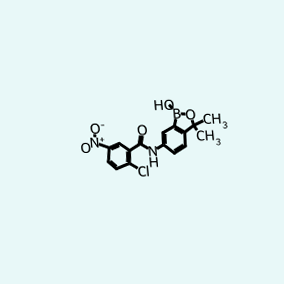 CC1(C)OB(O)c2cc(NC(=O)c3cc([N+](=O)[O-])ccc3Cl)ccc21